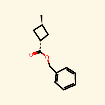 C[C@H]1C[C@H](C(=O)OCc2ccccc2)C1